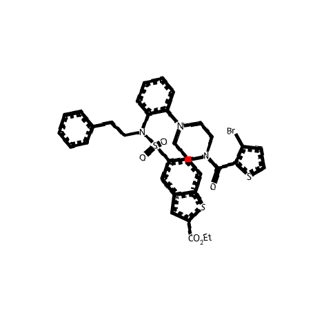 CCOC(=O)c1cc2cc(S(=O)(=O)N(CCc3ccccc3)c3ccccc3N3CCN(C(=O)c4sccc4Br)CC3)ccc2s1